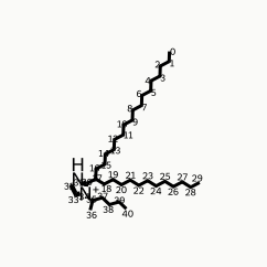 CCCCCCCCCCCCCCCCCC(CCCCCCCCCCCC)c1[nH]cc[n+]1C(C)CCCC